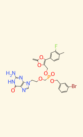 C=C1OC(COP(=O)(COCCn2cnc3c(=O)[nH]c(N)nc32)OCc2cccc(Br)c2)=C(c2ccc(C)c(F)c2)O1